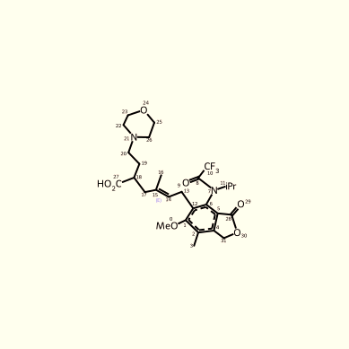 COc1c(C)c2c(c(N(C(=O)C(F)(F)F)C(C)C)c1C/C=C(\C)CC(CCN1CCOCC1)C(=O)O)C(=O)OC2